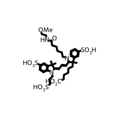 COCCNC(=O)CCCCC[N+]1=C(/C=C/C=C2/N(CCCS(=O)(=O)O)c3ccc(S(=O)(=O)O)cc3C2(C)C)C(C)(CCCCCC(=O)O)c2cc(S(=O)(=O)O)ccc21